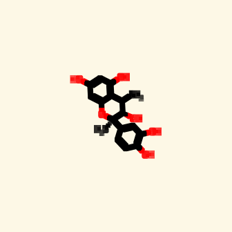 BC1c2c(O)cc(O)cc2O[C@](B)(c2ccc(O)c(O)c2)[C@@H]1O